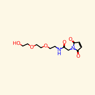 O=C(CN1C(=O)C=CC1=O)NCCOCCOCCO